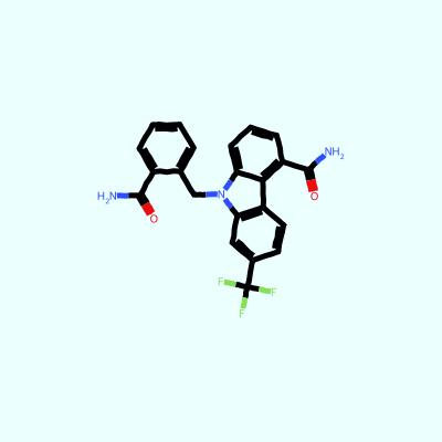 NC(=O)c1ccccc1Cn1c2cc(C(F)(F)F)c[c]c2c2c(C(N)=O)cccc21